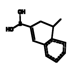 CC1CC(B(O)O)=Cc2ccccc21